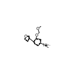 [C-]#[N+]c1ccc(-c2ccoc2)c(OCOC)c1